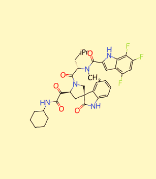 CC(C)C[C@@H](C(=O)N1C[C@]2(C[C@H]1C(=O)C(=O)NC1CCCCC1)C(=O)Nc1ccccc12)N(C)C(=O)c1cc2c(F)cc(F)c(F)c2[nH]1